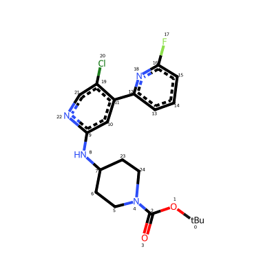 CC(C)(C)OC(=O)N1CCC(Nc2cc(-c3cccc(F)n3)c(Cl)cn2)CC1